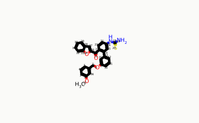 COc1cccc(COc2cccc(-c3cc(NC(N)=S)ccc3C(=O)c3cc4ccccc4o3)c2)c1